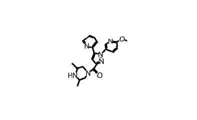 COc1ccc(-n2nc(C(=O)N3CC(C)NC(C)C3)cc2-c2ccccn2)cn1